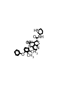 Cc1c(Oc2ccccc2)ccc(N2C(=O)NC3c4c2ccnc4S[C@H]3C(=O)NC2CCCNC2)c1C